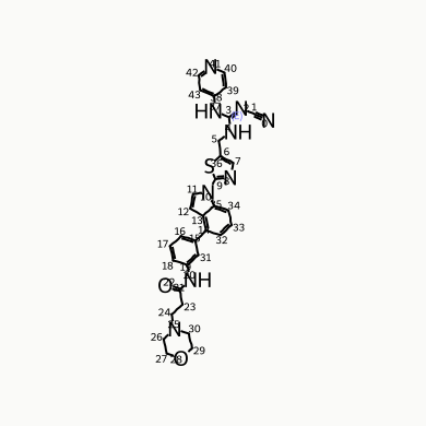 N#C/N=C(\NCc1cnc(-n2ccc3c(-c4cccc(NC(=O)CCN5CCOCC5)c4)cccc32)s1)Nc1ccncc1